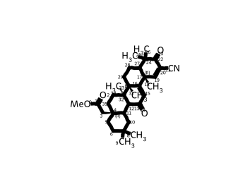 COC(=O)C[C@]12CCC(C)(C)CC1C1C(=O)C=C3[C@@]4(C)C=C(C#N)C(=O)C(C)(C)C4CC[C@@]3(C)[C@]1(C)CC2